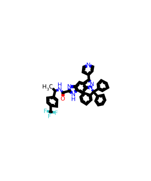 CC(NC(=O)c1nc2cc3c(-c4ccncc4)nn(C(c4ccccc4)(c4ccccc4)c4ccccc4)c3cc2[nH]1)c1ccc(C(F)(F)F)cc1